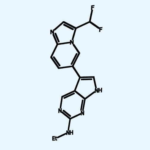 CCNc1ncc2c(-c3ccc4ncc(C(F)F)n4c3)c[nH]c2n1